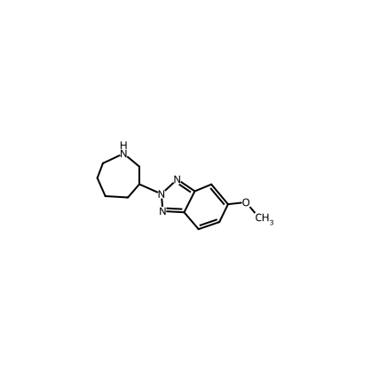 COc1ccc2nn(C3CCCCNC3)nc2c1